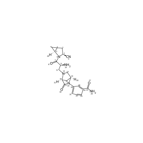 N#C[C@@H]1CC2C[C@@H]2N1C(=O)[C@@H](N)CN1C[C@@H]2C[C@H]1C(=O)N2c1cccc(C(N)=O)c1